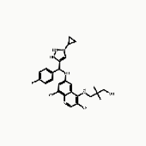 CC(C)(CO)CNc1c(C#N)cnc2c(Cl)cc(NC(C3=CN(C4CC4)NN3)c3ccc(F)cc3)cc12